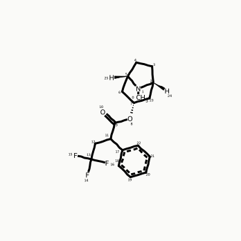 CN1[C@@H]2CC[C@H]1C[C@@H](OC(=O)C(CC(F)(F)F)c1ccccc1)C2